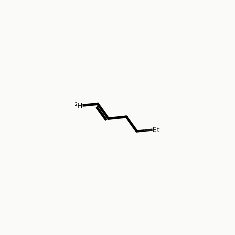 [2H]/C=C/CCCC